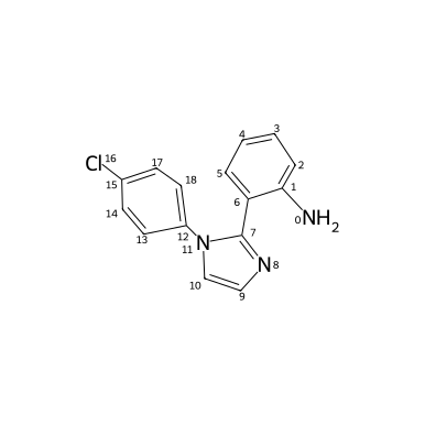 Nc1ccccc1-c1nccn1-c1ccc(Cl)cc1